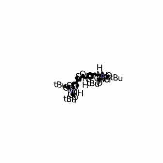 CC(C)(C)OC(=O)/N=C(/NCCc1ccc(NC(=O)c2cc(C3=CCN(/C(=N\C(=O)OC(C)(C)C)NC(=O)OC(C)(C)C)CC3)cs2)cc1)NC(=O)OC(C)(C)C